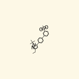 CCc1cc(-c2ccc(-c3cccc(S(C)(=O)=O)c3)cc2)n(C(C)(C)C)n1